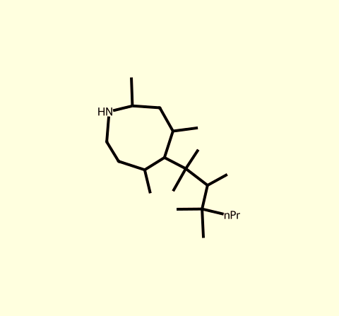 CCCC(C)(C)C(C)C(C)(C)C1C(C)CCNC(C)CC1C